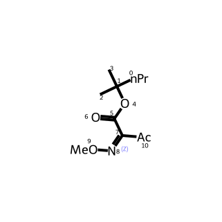 CCCC(C)(C)OC(=O)/C(=N\OC)C(C)=O